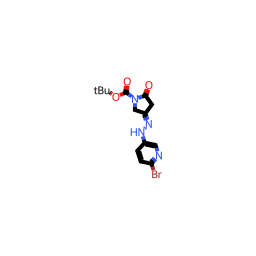 CC(C)(C)OC(=O)N1CC(=NNc2ccc(Br)nc2)CC1=O